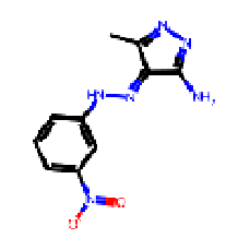 CC1=NN=C(N)/C1=N/Nc1cccc([N+](=O)[O-])c1